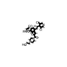 COc1ccc(CCc2c(Cl)cncc2Cl)c2cc(C(=O)N3CCN(CCO)CC3)oc12.O=C(O)C=CC(=O)O